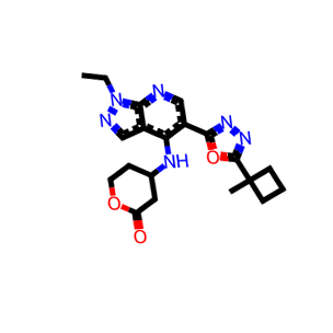 CCn1ncc2c(NC3CCOC(=O)C3)c(-c3nnc(C4(C)CCC4)o3)cnc21